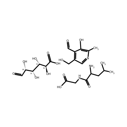 CC(C)CC(N)C(=O)NCC(=O)O.Cc1ncc(CO)c(C=O)c1O.O=C[C@H](O)[C@@H](O)[C@H](O)[C@H](O)C(=O)O